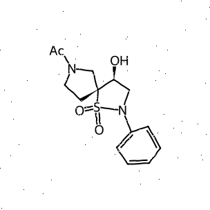 CC(=O)N1CC[C@@]2(C1)[C@@H](O)CN(c1ccccc1)S2(=O)=O